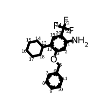 Nc1cc(OCc2ccccc2)c(C2CCCCC2)cc1C(F)(F)F